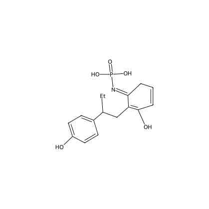 CCC(CC1=C(O)C=CCC1=NP(=O)(O)O)c1ccc(O)cc1